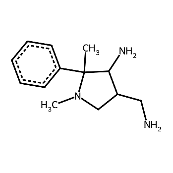 CN1CC(CN)C(N)C1(C)c1ccccc1